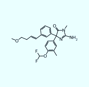 COCCC=Cc1cccc(C2(c3ccc(OC(F)F)c(C)c3)N=C(N)N(C)C2=O)c1